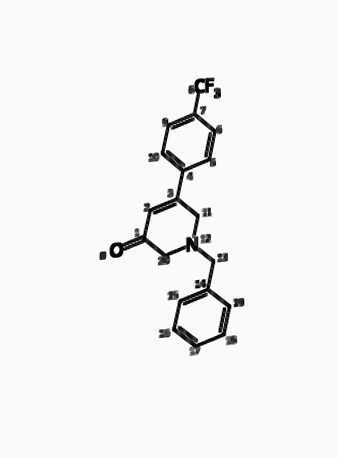 O=C1C=C(c2ccc(C(F)(F)F)cc2)CN(Cc2ccccc2)C1